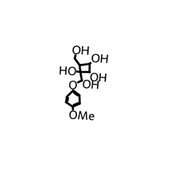 COc1ccc(OC(O)C2(O)C(O)C(O)C2CO)cc1